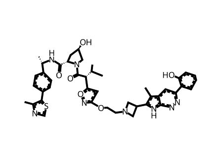 Cc1ncsc1-c1ccc([C@H](C)NC(=O)[C@@H]2C[C@@H](O)CN2C(=O)[C@@H](c2cc(OCCN3CC(c4[nH]c5nnc(-c6ccccc6O)cc5c4C)C3)no2)C(C)C)cc1